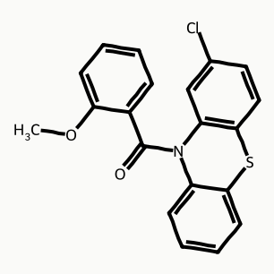 COc1ccccc1C(=O)N1c2ccccc2Sc2ccc(Cl)cc21